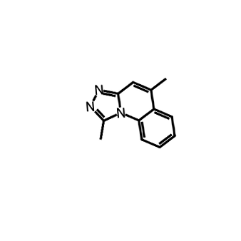 Cc1cc2nnc(C)n2c2ccccc12